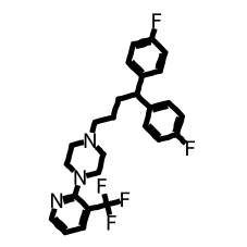 Fc1ccc(C(CCCN2CCN(c3ncccc3C(F)(F)F)CC2)c2ccc(F)cc2)cc1